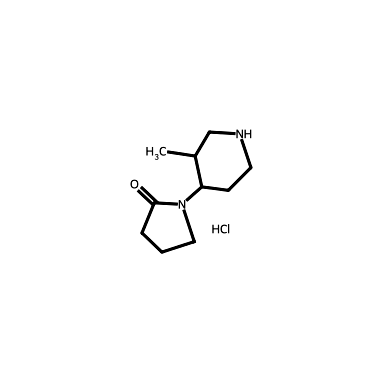 CC1CNCCC1N1CCCC1=O.Cl